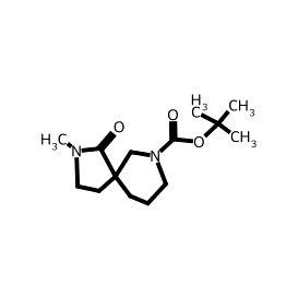 CN1CCC2(CCCN(C(=O)OC(C)(C)C)C2)C1=O